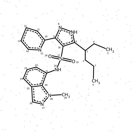 CCCC(CC)c1[nH]nc(-c2ccccn2)c1S(=O)(=O)Nc1cccc2cnn(C)c12